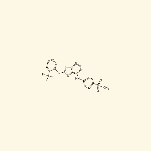 CS(=O)(=O)c1ccc(Nc2ncnc3sc(Cc4ccccc4C(F)(F)F)nc23)cc1